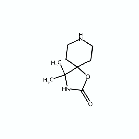 CC1(C)NC(=O)OC12CCNCC2